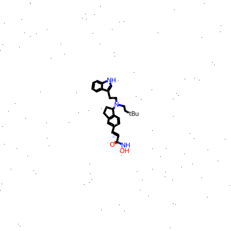 CC(C)(C)CCN(CCc1c[nH]c2ccccc12)C1CCc2cc(/C=C/C(=O)NO)ccc21